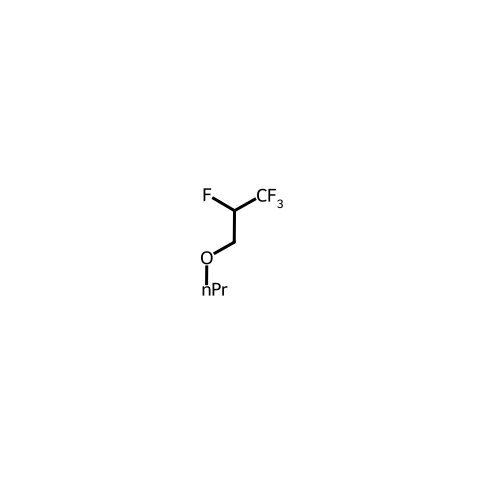 CCCOCC(F)C(F)(F)F